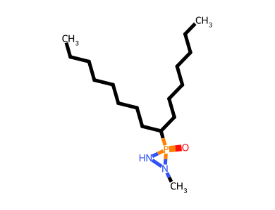 CCCCCCCCC(CCCCCCC)P1(=O)NN1C